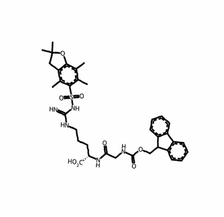 Cc1c(C)c(S(=O)(=O)NC(=N)NCCC[C@H](NC(=O)CNC(=O)OCC2c3ccccc3-c3ccccc32)C(=O)O)c(C)c2c1OC(C)(C)C2